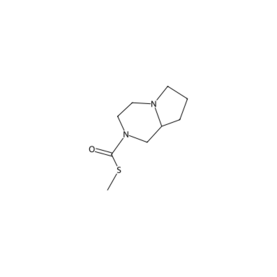 CSC(=O)N1CCN2CCCC2C1